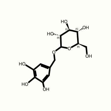 OC[C@H]1OC(OCc2cc(O)c(O)c(O)c2)[C@H](O)[C@@H](O)[C@@H]1O